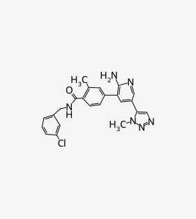 Cc1cc(-c2cc(-c3cnnn3C)cnc2N)ccc1C(=O)NCc1cccc(Cl)c1